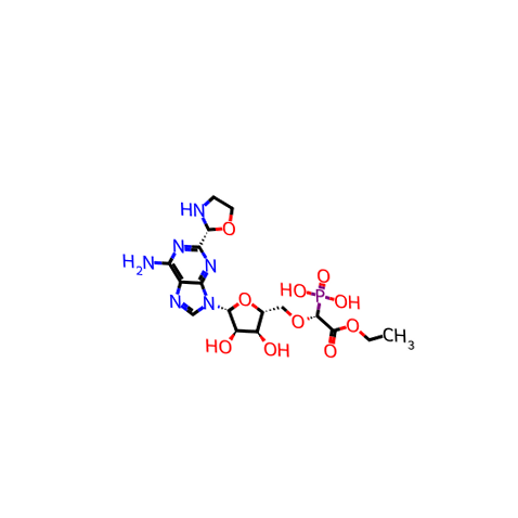 CCOC(=O)[C@H](OC[C@H]1O[C@@H](n2cnc3c(N)nc([C@@H]4NCCO4)nc32)[C@H](O)[C@@H]1O)P(=O)(O)O